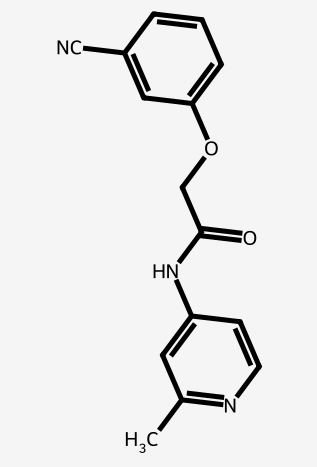 Cc1cc(NC(=O)COc2cccc(C#N)c2)ccn1